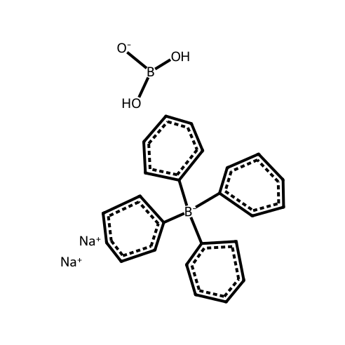 [Na+].[Na+].[O-]B(O)O.c1ccc([B-](c2ccccc2)(c2ccccc2)c2ccccc2)cc1